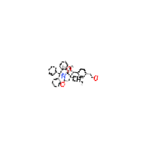 C[C@H](c1ccc(CC=O)cc1)[C@]1(C)CC(=O)N(C(c2ccccc2)(c2ccccc2)c2ccccc2)C1=O